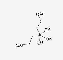 CC(=O)OCCP(O)(O)(O)CCOC(C)=O